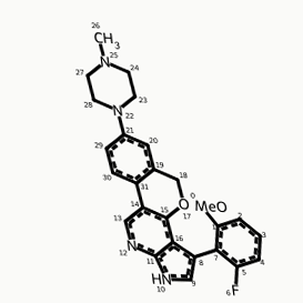 COc1cccc(F)c1-c1c[nH]c2ncc3c(c12)OCc1cc(N2CCN(C)CC2)ccc1-3